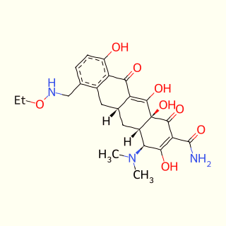 CCONCc1ccc(O)c2c1C[C@H]1C[C@H]3[C@H](N(C)C)C(O)=C(C(N)=O)C(=O)[C@@]3(O)C(O)=C1C2=O